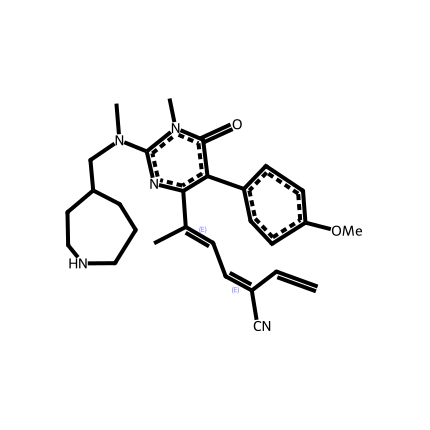 C=C/C(C#N)=C\C=C(/C)c1nc(N(C)CC2CCCNCC2)n(C)c(=O)c1-c1ccc(OC)cc1